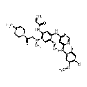 C=CC(=O)Nc1cc(Nc2cc(Nc3cc(OC)c(Cl)cc3Cl)ncn2)c(OC)cc1N(C)CC(=O)N1CCN(C)CC1